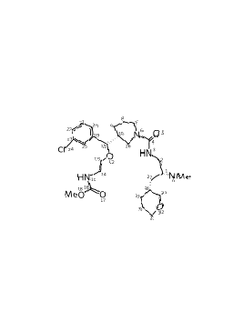 CN[C@@H](CNC(=O)N1CCC[C@@H](C(OCCNC(=O)OC)c2cccc(Cl)c2)C1)C[C@H]1CCCOC1